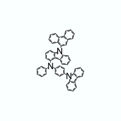 c1ccc(N(c2ccc(-n3c4ccccc4c4ccccc43)cc2)c2cccc3c2c2ccccc2n3-c2cc3ccccc3c3ccccc23)cc1